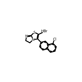 Br.CC1=C(c2ccc3cccc(Cl)c3c2)N2CCN=C2S1